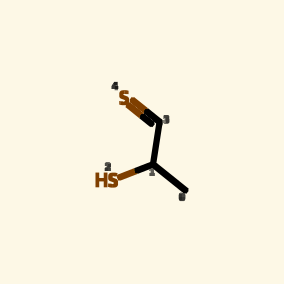 CC(S)C=S